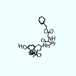 CC(C)C(NCC(=O)OCc1ccccc1)C(=O)NC(CNS(C)(=O)=O)Cc1ccc(O)c(C(C)(C)C)c1